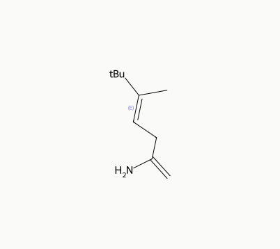 C=C(N)C/C=C(\C)C(C)(C)C